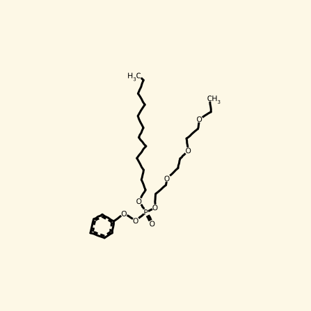 CCCCCCCCCCCCOP(=O)(OCCOCCOCCOCC)OOc1ccccc1